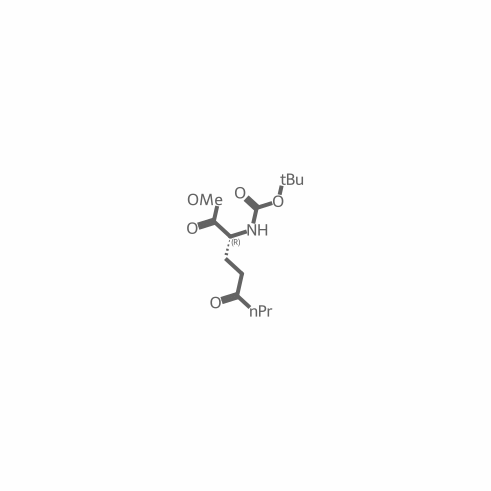 CCCC(=O)CC[C@@H](NC(=O)OC(C)(C)C)C(=O)OC